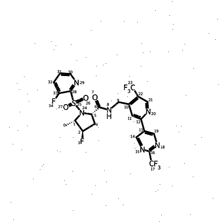 C[C@H]1[C@H](F)C[C@@H](C(=O)NCc2cc(-c3cnc(C(F)(F)F)nc3)ncc2C(F)(F)F)N1S(=O)(=O)c1ncccc1F